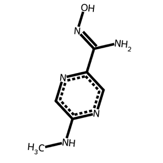 CNc1cnc(/C(N)=N/O)cn1